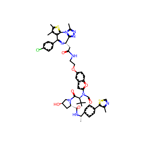 Cc1ncsc1-c1ccc([C@H](C)NC(=O)[C@@H]2C[C@@H](O)CN2C(=O)[C@@H](N(C=O)c2cc3cc(OCCNC(=O)C[C@@H]4N=C(c5ccc(Cl)cc5)c5c(sc(C)c5C)-n5c(C)nnc54)ccc3o2)C(C)(C)C)cc1